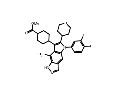 COC(=O)C1CCC(c2c(C3CCOCC3)n(-c3ccc(F)c(F)c3)c3cc4cn[nH]c4c(C)c23)CC1